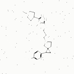 CN1CCC(c2nnc(SCCCN3CCC4(CC4c4ccc(C(F)(F)F)cc4)C3)n2C)CC1